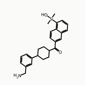 C[Si](C)(O)c1cccc2cc(C(=O)C3CCC(c4cccc(CN)c4)CC3)ccc12